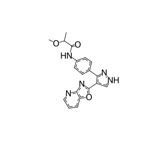 COC(C)C(=O)Nc1ccc(-c2n[nH]cc2-c2nc3ncccc3o2)cc1